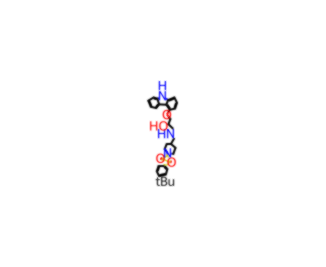 CC(C)(C)c1ccc(S(=O)(=O)N2CCC(CNC[C@H](O)COc3cccc4[nH]c5ccccc5c34)CC2)cc1